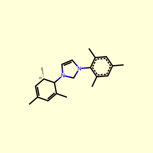 CC1=C[C@H](C)C(N2C=CN(c3c(C)cc(C)cc3C)C2)C(C)=C1